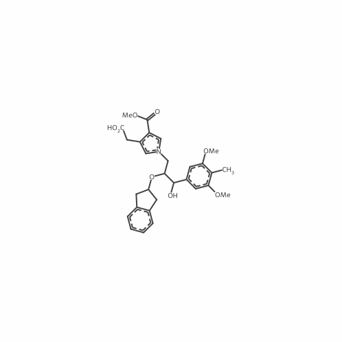 COC(=O)c1cn(CC(OC2Cc3ccccc3C2)C(O)c2cc(OC)c(C)c(OC)c2)cc1CC(=O)O